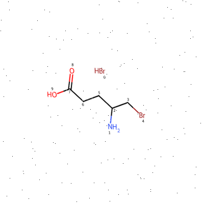 Br.NC(CBr)CCC(=O)O